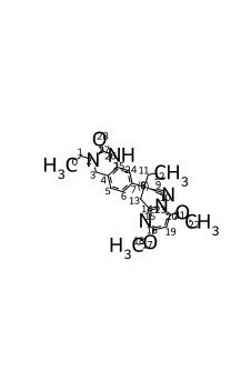 CCN1Cc2ccc([C@](C#N)(CC)Cc3nc(OC)cc(OC)n3)cc2NC1=O